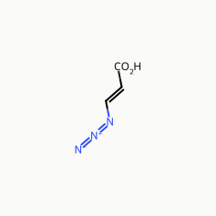 [N-]=[N+]=N/C=C/C(=O)O